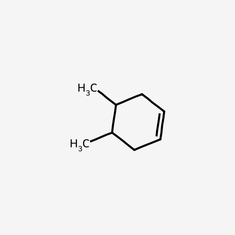 CC1CC=CCC1C